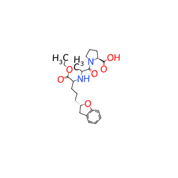 CCOC(=O)C(CCC[C@H]1Cc2ccccc2O1)NC(C)C(=O)N1CCC[C@H]1C(=O)O